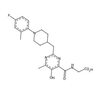 Cc1cc(F)ccc1N1CCC(Cc2nc(C)c(O)c(C(=O)NCC(=O)O)n2)CC1